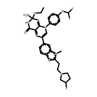 CCOC1(N)N=C2C(=NC(c3ccc4nc(CCN5CCC(F)C5)n(C)c4c3)=CN2c2ccc(OC(F)F)cc2)C(=O)N1